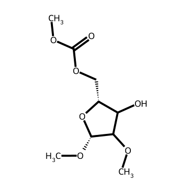 COC(=O)OC[C@H]1O[C@@H](OC)C(OC)C1O